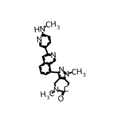 CNc1ccc(-c2cc3cccc(-c4nn(C)c5c4CN(C)C(=O)CC5)c3cn2)cn1